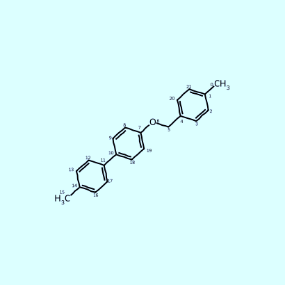 Cc1ccc(COc2ccc(-c3ccc(C)cc3)cc2)cc1